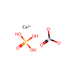 O=P(O)(O)O.[Ca+2].[O]=[Ti]([O-])[O-]